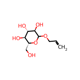 C=CCOC1O[C@H](CO)[C@@H](O)[C@H](O)[C@H]1O